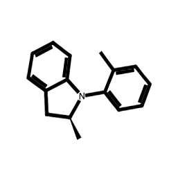 Cc1ccccc1N1c2ccccc2C[C@@H]1C